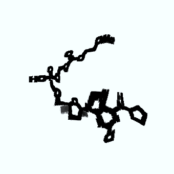 COCCOC(=O)OCOP(=O)(O)COC[C@@H]1CC[C@H](n2cnc3c(NC4CCCC4)nc(Cl)nc32)O1